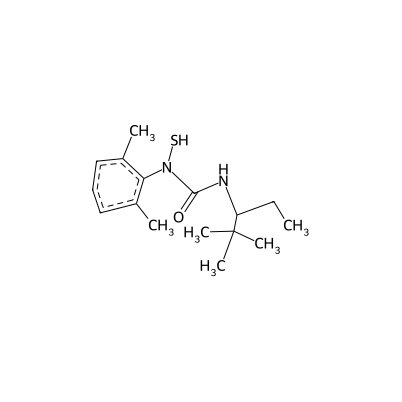 CCC(NC(=O)N(S)c1c(C)cccc1C)C(C)(C)C